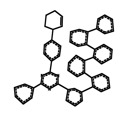 C1=CC(c2ccc(-c3nc(-c4ccccc4)nc(-c4cccc(-c5ccccc5-c5ccccc5-c5ccccc5-c5ccccc5-c5ccccc5)c4)n3)cc2)CCC1